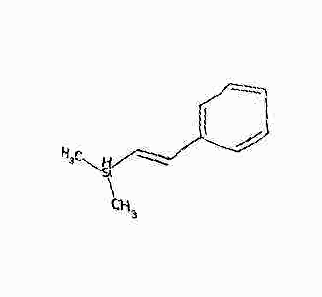 C[SiH](C)C=Cc1ccccc1